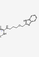 C/N=C(/NC#N)NCCCOCc1nc2ccccc2[nH]1